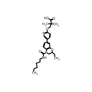 CCCCCCNC(=O)N1CC(CC)Oc2cc(-c3ccc(OCC(C)(C)C(=O)O)nc3)ccc21